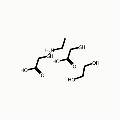 CCN.O=C(O)CS.O=C(O)CS.OCCO